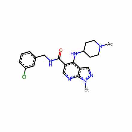 CCn1ncc2c(NC3CCN(C(C)=O)CC3)c(C(=O)NCc3cccc(Cl)c3)cnc21